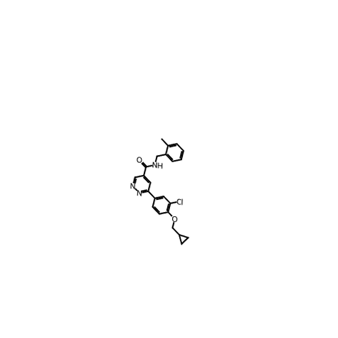 Cc1ccccc1CNC(=O)c1cnnc(-c2ccc(OCC3CC3)c(Cl)c2)c1